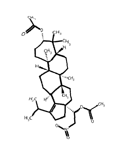 CC(=O)OC(C[N+](=O)[O-])[C@]12CCC(C(C)C)=C1[C@H]1CC[C@@H]3[C@@]4(C)CC[C@H](OC(C)=O)C(C)(C)[C@@H]4CC[C@@]3(C)[C@]1(C)CC2